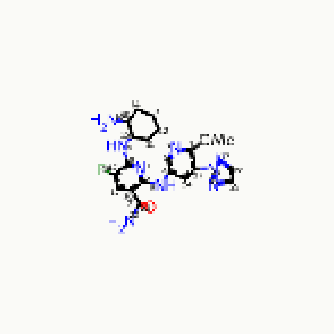 COc1ncc(Nc2nc(N[C@@H]3CCCC[C@@H]3N)c(F)cc2C(N)=O)cc1-n1nccn1